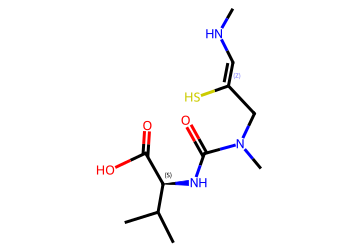 CN/C=C(\S)CN(C)C(=O)N[C@H](C(=O)O)C(C)C